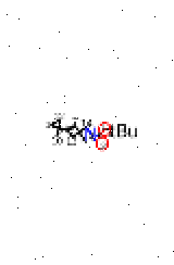 CC(C)(C)OC(=O)N1CC2(C=C(C3(C)CC3)C2)C1